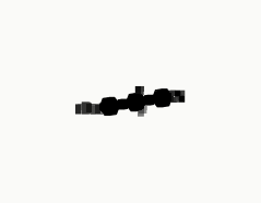 CCCCCCCCCCc1ccc(C#Cc2cc(F)c(C#Cc3ccc(C#N)cc3)c(F)c2)cc1